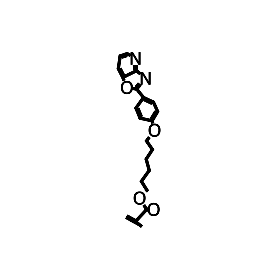 C=C(C)C(=O)OCCCCCCOc1ccc(-c2nc3ncccc3o2)cc1